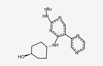 CCCCNc1ncc(-c2cnccn2)c(N[C@H]2CC[C@H](O)CC2)n1